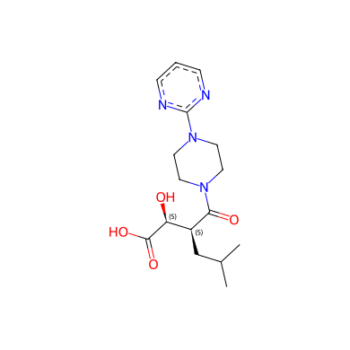 CC(C)C[C@H](C(=O)N1CCN(c2ncccn2)CC1)[C@H](O)C(=O)O